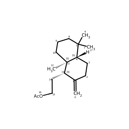 C=C1CC[C@H]2C(C)(C)CCC[C@]2(C)[C@H]1CCOC(C)=O